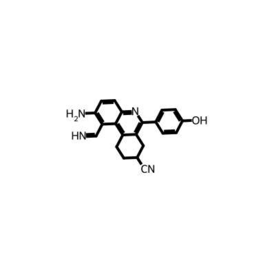 N#CC1CCc2c(c(-c3ccc(O)cc3)nc3ccc(N)c(C=N)c23)C1